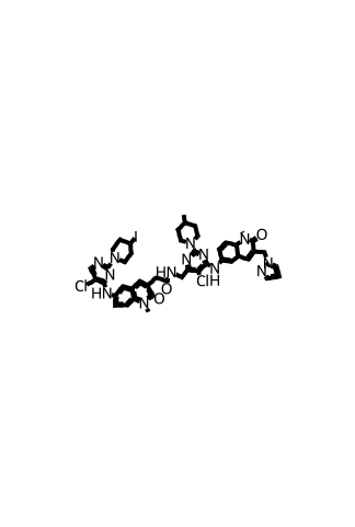 CC1CCN(c2nc(CNC(=O)Cc3cc4cc(Nc5nc(N6CCC(I)CC6)ncc5Cl)ccc4n(C)c3=O)c(Cl)c(NC3=CC4C=C(Cn5cccn5)C(=O)N(C)C4C=C3)n2)CC1